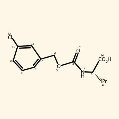 CC(C)[C@H](NC(=O)OCc1cccc(Cl)c1)C(=O)O